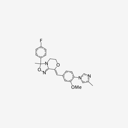 COc1cc(/C=C2\OCCN3C2=NOC3(C)c2ccc(F)cc2)ccc1-n1cnc(C)c1